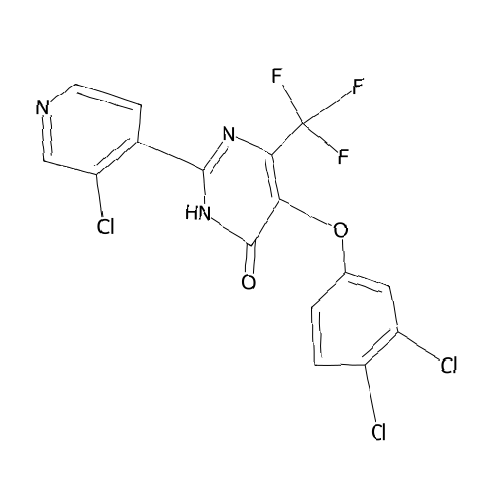 O=c1[nH]c(-c2ccncc2Cl)nc(C(F)(F)F)c1Oc1ccc(Cl)c(Cl)c1